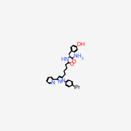 CC(C)c1ccc(-n2nc(-c3ccccn3)cc2CCCCC(=O)N[C@@H](Cc2ccc(O)cc2)C(N)=O)cc1